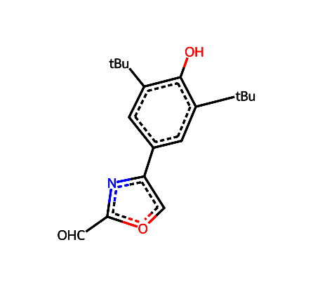 CC(C)(C)c1cc(-c2coc(C=O)n2)cc(C(C)(C)C)c1O